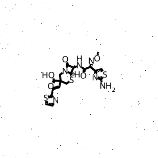 CON=C(C(=O)NC1C(=O)N2CC(C=Cc3nccs3)(C(=O)O)CS[C@H]12)c1csc(N)n1